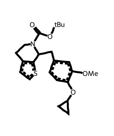 COc1cc(CC2c3sccc3CCN2C(=O)OC(C)(C)C)ccc1OC1CC1